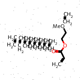 C=C.C=C.C=C.C=C.C=C.C=C.C=C.C=C.C=C.C=CC(=O)OCCOC